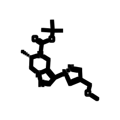 COCc1cnn(-c2cnn3c2CN(C(=O)OC(C)(C)C)[C@@H](C)C3)c1